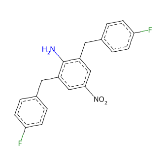 Nc1c(Cc2ccc(F)cc2)cc([N+](=O)[O-])cc1Cc1ccc(F)cc1